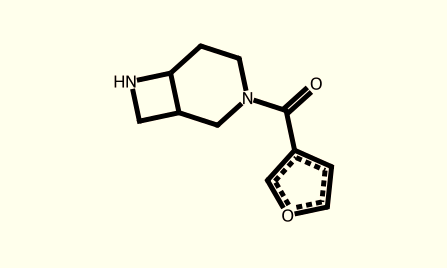 O=C(c1ccoc1)N1CCC2NCC2C1